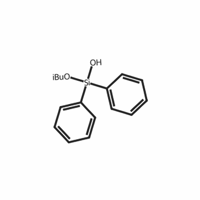 CC(C)CO[Si](O)(c1ccccc1)c1ccccc1